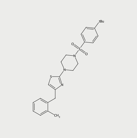 Cc1ccccc1Cc1csc(N2CCN(S(=O)(=O)c3ccc(C(C)(C)C)cc3)CC2)n1